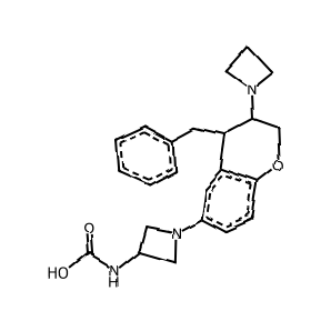 O=C(O)NC1CN(c2ccc3c(c2)C(Cc2ccccc2)C(N2CCC2)CO3)C1